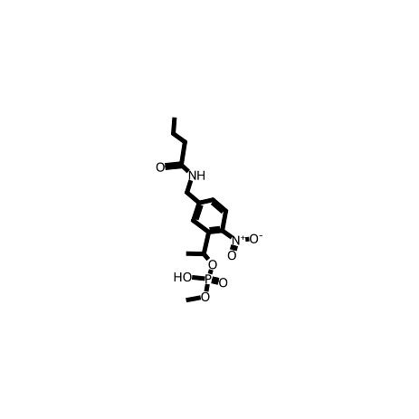 CCCC(=O)NCc1ccc([N+](=O)[O-])c(C(C)OP(=O)(O)OC)c1